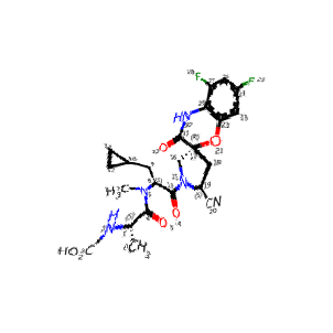 C[C@H](NC(=O)O)C(=O)N(C)[C@@H](CC1CC1)C(=O)N1C[C@@]2(C[C@H]1C#N)Oc1cc(F)cc(F)c1NC2=O